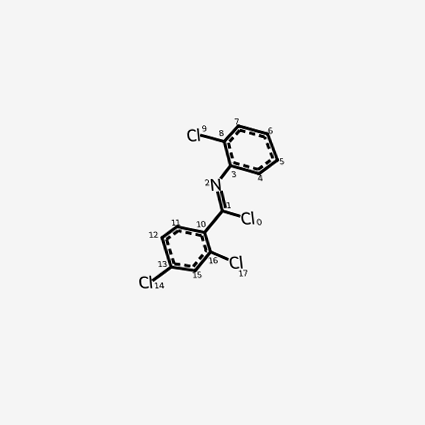 Cl/C(=N\c1ccccc1Cl)c1ccc(Cl)cc1Cl